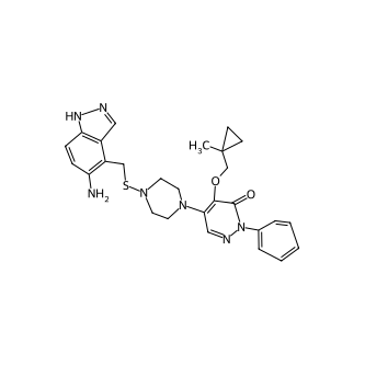 CC1(COc2c(N3CCN(SCc4c(N)ccc5[nH]ncc45)CC3)cnn(-c3ccccc3)c2=O)CC1